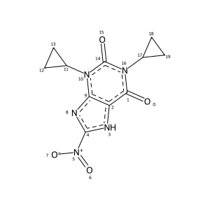 O=c1c2[nH]c([N+](=O)[O-])nc2n(C2CC2)c(=O)n1C1CC1